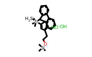 C[Si](C)(C)OCCC1=CC[C]([Zr]([CH3])([CH3])(=[SiH2])[CH]2c3ccccc3-c3ccccc32)=C1.Cl.Cl